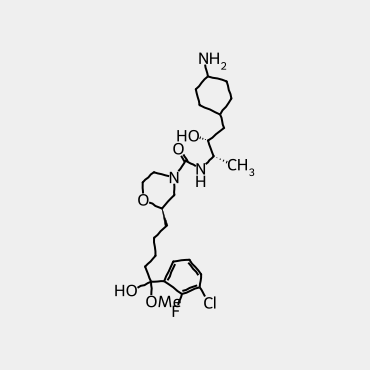 COC(O)(CCCC[C@@H]1CN(C(=O)N[C@@H](C)[C@H](O)CC2CCC(N)CC2)CCO1)c1cccc(Cl)c1F